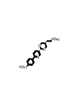 CCCCCCCCCCCC[C@H]1CO[C@H](c2ccc(-c3ccc(CCCCCCCC)cc3)nc2)OC1